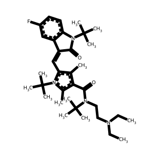 CCN(CC)CCN(C(=O)c1c(C)c(/C=C2\C(=O)N(C(C)(C)C)c3ccc(F)cc32)n(C(C)(C)C)c1C)C(C)(C)C